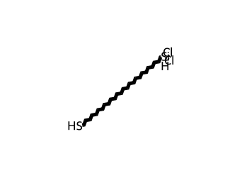 SCCCCCCCCCCCCCCCCCCCCCCCCCC[SiH](Cl)Cl